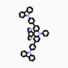 c1ccc(N2c3ccc(-c4ccc(-n5c6ccccc6c6ccccc65)cc4)cc3C3(c4cc(-c5ccc(-n6c7ccccc7c7ccccc76)cc5)ccc42)c2ncccc2-c2cccnc23)cc1